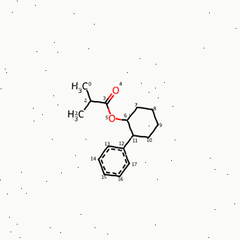 CC(C)C(=O)OC1CCCCC1c1ccccc1